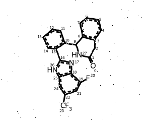 O=C1Cc2ccccc2C(c2ccccc2-c2nc3c(F)cc(C(F)(F)F)cc3[nH]2)N1